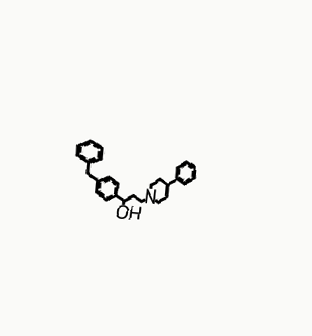 OC(CCN1CC=C(c2ccccc2)CC1)c1ccc(Cc2ccccc2)cc1